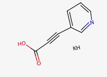 O=C(O)C#Cc1cccnc1.[KH]